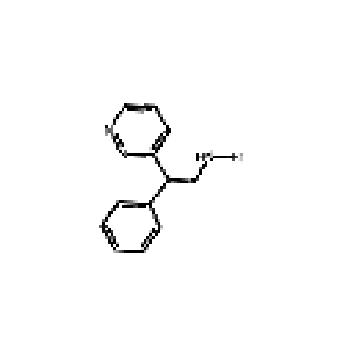 CCNCC(c1ccccc1)c1cccnn1